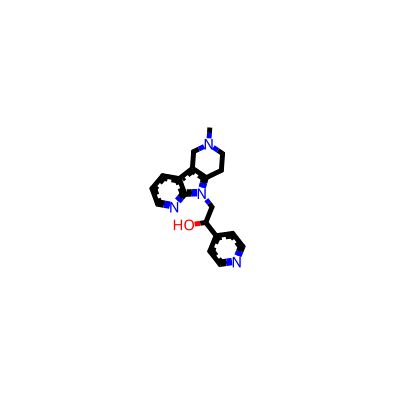 CN1CCc2c(c3cccnc3n2CC(O)c2ccncc2)C1